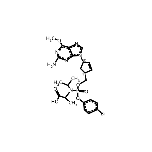 COc1nc(N)nc2c1ncn2[C@H]1C=C[C@@H](COP(=O)(Oc2ccc(Br)cc2)N(C(C)C)C(C)C(=O)O)C1